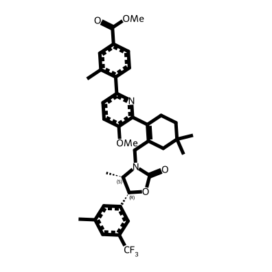 COC(=O)c1ccc(-c2ccc(OC)c(C3=C(CN4C(=O)O[C@H](c5cc(C)cc(C(F)(F)F)c5)[C@@H]4C)CC(C)(C)CC3)n2)c(C)c1